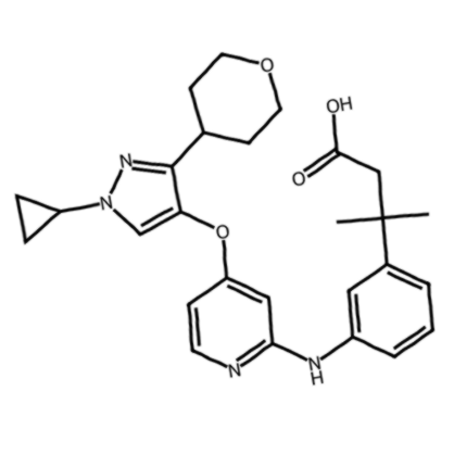 CC(C)(CC(=O)O)c1cccc(Nc2cc(Oc3cn(C4CC4)nc3C3CCOCC3)ccn2)c1